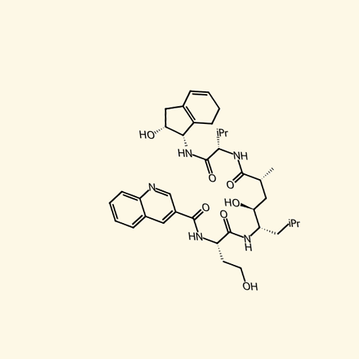 CC(C)C[C@H](NC(=O)[C@H](CCO)NC(=O)c1cnc2ccccc2c1)[C@@H](O)C[C@@H](C)C(=O)N[C@H](C(=O)N[C@H]1C2=C(C=CCC2)C[C@H]1O)C(C)C